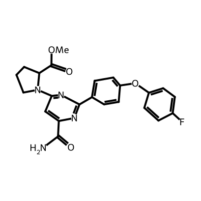 COC(=O)C1CCCN1c1cc(C(N)=O)nc(-c2ccc(Oc3ccc(F)cc3)cc2)n1